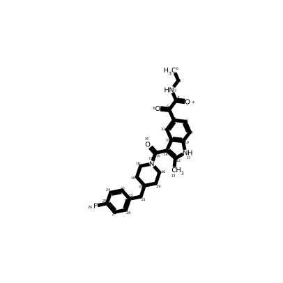 CCNC(=O)C(=O)c1ccc2[nH]c(C)c(C(=O)N3CCC(Cc4ccc(F)cc4)CC3)c2c1